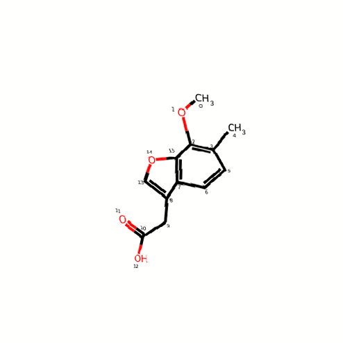 COc1c(C)ccc2c(CC(=O)O)coc12